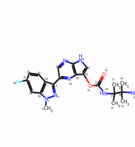 Cn1nc(-c2cnc3[nH]cc(OC(=O)NC(C)(C)C(C)(C)N)c3n2)c2ccc(F)cc21